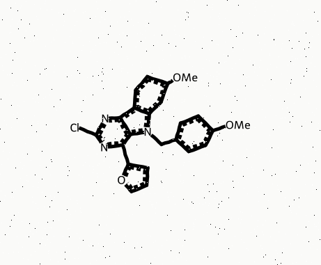 COc1ccc(Cn2c3cc(OC)ccc3c3nc(Cl)nc(-c4ccco4)c32)cc1